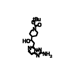 CC(C)(C)OC(=O)N1CCC(C(O)Cc2nccc3nc(N)nn23)CC1